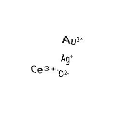 [Ag+].[Au+3].[Ce+3].[O-2]